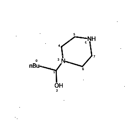 CCCCC(O)N1CCNCC1